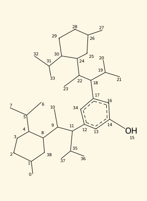 CC1CCC(C(C)C)C(C(C)C(c2cc(O)cc(C(C(C)C)C(C)C3CC(C)CCC3C(C)C)c2)C(C)C)C1